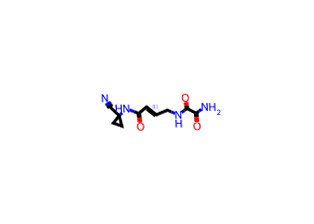 N#CC1(NC(=O)/C=C/CNC(=O)C(N)=O)CC1